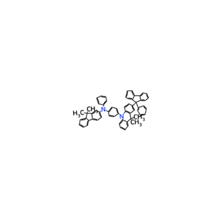 CC1(C)c2ccccc2-c2ccc(N(c3ccccc3)c3ccc(N4c5ccccc5C(C)(C)c5cc(C6(c7ccccc7)c7ccccc7-c7ccccc76)ccc54)cc3)cc21